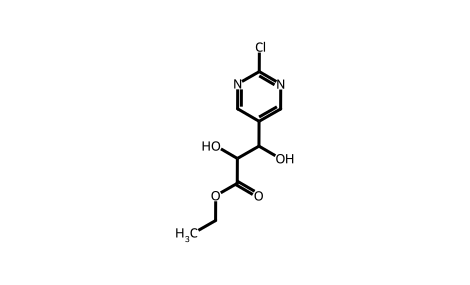 CCOC(=O)C(O)C(O)c1cnc(Cl)nc1